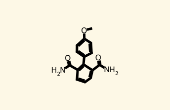 COc1ccc(-c2c(C(N)=O)cccc2C(N)=O)cc1